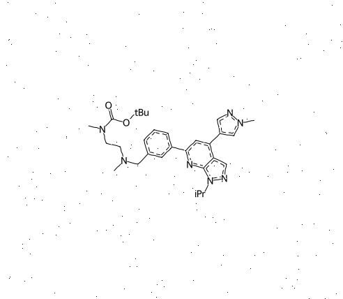 CC(C)n1ncc2c(-c3cnn(C)c3)cc(-c3cccc(CN(C)CCN(C)C(=O)OC(C)(C)C)c3)nc21